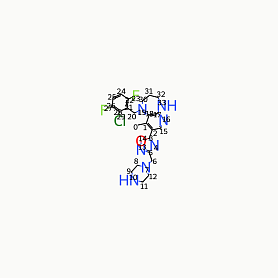 Cc1c(-c2nc(CN3CCNCC3)no2)cnc2c1N(Cc1c(F)ccc(F)c1Cl)CCCN2